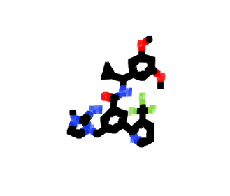 COc1cc(OC)cc(C(NC(=O)c2cc(Cn3ccn(C)c3=N)cc(-c3ncccc3C(F)(F)F)c2)C2CC2)c1